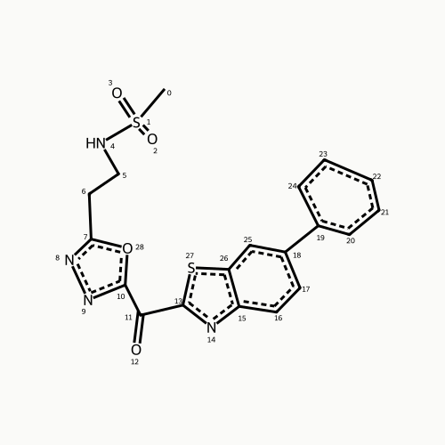 CS(=O)(=O)NCCc1nnc(C(=O)c2nc3ccc(-c4ccccc4)cc3s2)o1